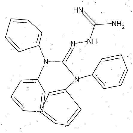 N=C(N)NN=C(N(c1ccccc1)c1ccccc1)N(c1ccccc1)c1ccccc1